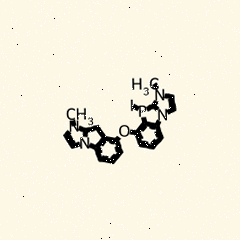 CN1C=CN2c3cccc(Oc4cccc5c4P(I)C4N(C)C=CN54)c3CC12